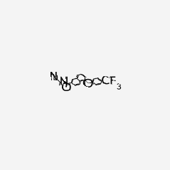 C/C(=N\C(=O)c1ccc2c(Oc3ccc(C(F)(F)F)cc3)cccc2c1)C1CN(C)C1